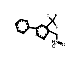 O=[SH](=O)Cc1c[c]c(-c2ccccc2)cc1C(F)(F)F